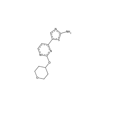 Nc1ncc(-c2ccnc(OC3CCOCC3)n2)s1